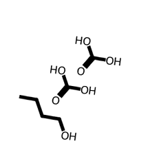 CCCCO.O=C(O)O.O=C(O)O